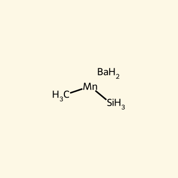 [BaH2].[CH3][Mn][SiH3]